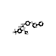 O=C(Nc1cc(C(F)(F)F)ccc1OC1COC1)NC1CCC(Oc2ccnc(-c3cccnc3)n2)CC1